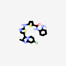 Cc1nc2cc(Cl)ccn2c1-c1cnc(Nc2ccc(C(=O)Nc3ccccc3N)s2)s1